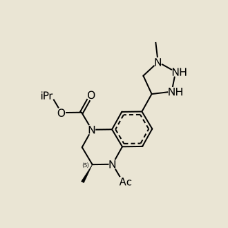 CC(=O)N1c2ccc(C3CN(C)NN3)cc2N(C(=O)OC(C)C)C[C@@H]1C